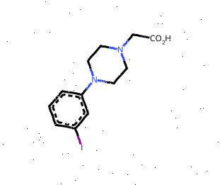 O=C(O)CN1CCN(c2cccc(I)c2)CC1